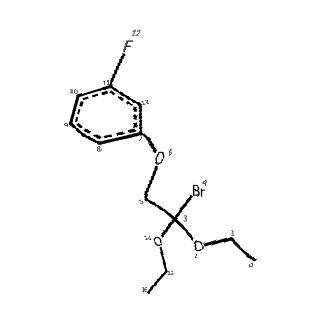 CCOC(Br)(COc1cccc(F)c1)OCC